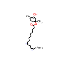 CCCCC/C=C\C/C=C\CCCCCCCC(=O)O[C@]1(C)CC[C@@H](C(C)C)[C@H](O)C1